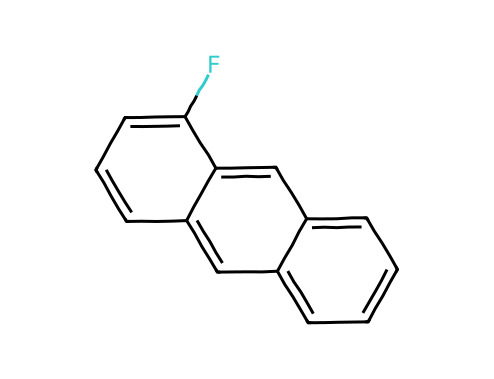 Fc1cccc2cc3ccccc3cc12